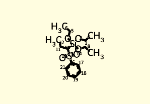 CCO[Si](OCC)(OCC)C(CC)S(=O)(=O)c1ccccc1